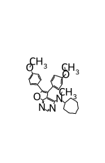 COc1ccc(-c2oc3ncnc(N(C)C4CCCCCC4)c3c2-c2ccc(OC)cc2)cc1